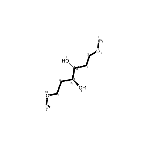 CC(C)OCC[C@@H](O)[C@@H](O)CCOC(C)C